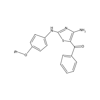 CC(C)Oc1ccc(Nc2nc(N)c(C(=O)c3ccccc3)s2)cc1